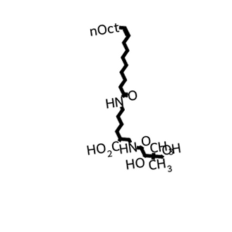 CCCCCCCC/C=C\CCCCCCCC(=O)NCCCCC(CNC(=O)C(O)C(C)(C)CO)C(=O)O